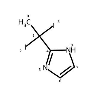 CC(I)(I)c1ncc[nH]1